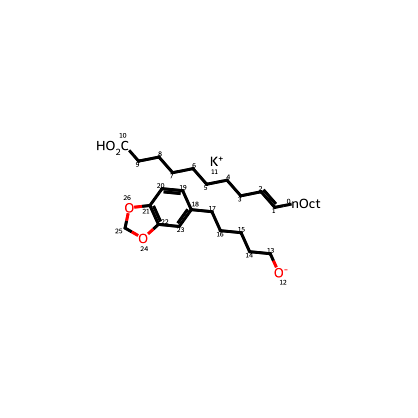 CCCCCCCCC=CCCCCCCCC(=O)O.[K+].[O-]CCCCCc1ccc2c(c1)OCO2